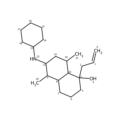 C=CCC1(O)CCCC2C(C)C(NC3CCCCC3)CC(C)C21